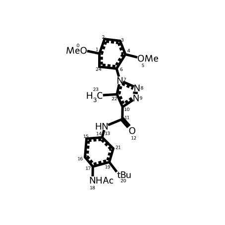 COc1ccc(OC)c(-n2nnc(C(=O)Nc3ccc(NC(C)=O)c(C(C)(C)C)c3)c2C)c1